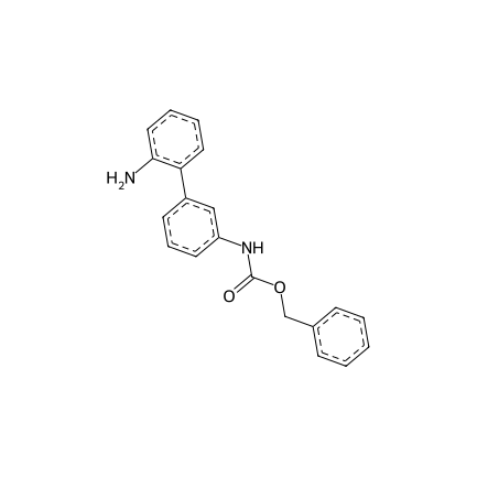 Nc1ccccc1-c1cccc(NC(=O)OCc2ccccc2)c1